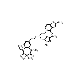 CCN1C(=O)C(C)(C)C(=O)N(C)c2cc(CCCN(CCn3ccc4oc(C)cc4c3=O)Cc3cc(C)nn3C)ccc21